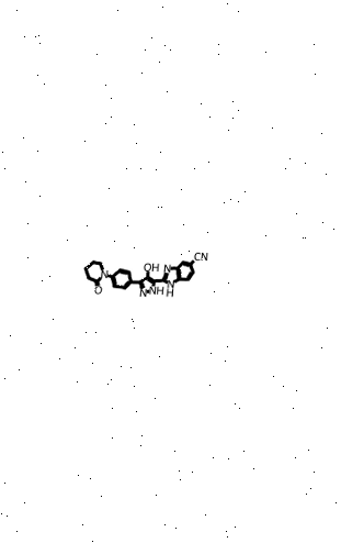 N#Cc1ccc2[nH]c(-c3[nH]nc(-c4ccc(N5CCCCC5=O)cc4)c3O)nc2c1